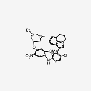 CCOC[C@H](CN(C)C)Oc1cc(OC)c(Nc2ncc(Cl)c(-c3cn4c5c(cccc35)CCC4)n2)cc1[N+](=O)[O-]